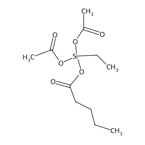 CCCCC(=O)O[Si](CC)(OC(C)=O)OC(C)=O